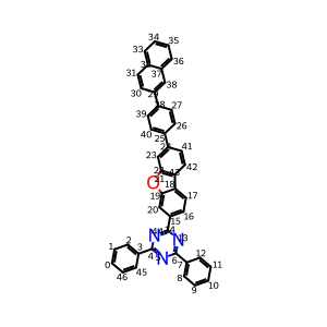 c1ccc(-c2nc(-c3ccccc3)nc(-c3ccc4c(c3)oc3cc(-c5ccc(-c6ccc7ccccc7c6)cc5)ccc34)n2)cc1